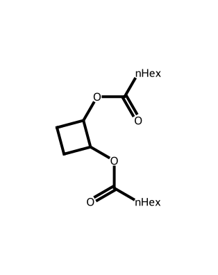 CCCCCCC(=O)OC1CCC1OC(=O)CCCCCC